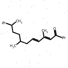 CC(/C=C/CC(C)CCC(C)C(C)C)=C\C(=O)C(C)C